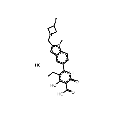 CCc1c(-c2ccc3c(c2)cc(CN2CC(F)C2)n3C)[nH]c(=O)c(C(=O)O)c1O.Cl